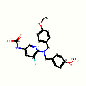 COc1ccc(CN(Cc2ccc(OC)cc2)c2ncc(NC(=O)O)cc2F)cc1